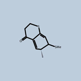 CSC1C=C2SCCC(=O)C2=C[C@H]1C